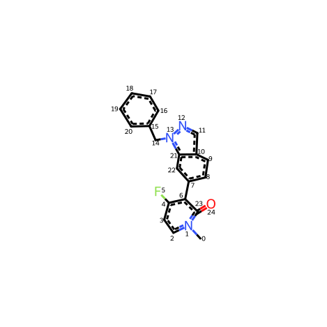 Cn1ccc(F)c(-c2ccc3cnn(Cc4ccccc4)c3c2)c1=O